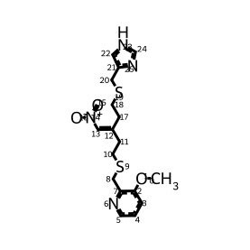 COc1cccnc1CSCCC(=C[N+](=O)[O-])CCSCc1c[nH]cn1